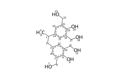 CC(Cc1cc(CO)c(O)c(CO)c1)c1cc(CO)c(O)c(CO)c1